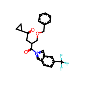 O=C(CC(COCc1ccccc1)C(=O)n1cc2ccc(C(F)(F)F)cc2c1)C1CC1